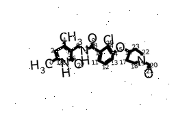 Cc1cc(C)c(CNC(=O)c2cccc(OC3CCN(C=O)CC3)c2Cl)c(=O)[nH]1